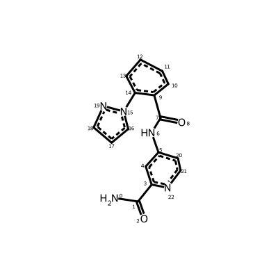 NC(=O)c1cc(NC(=O)c2ccccc2-n2cccn2)ccn1